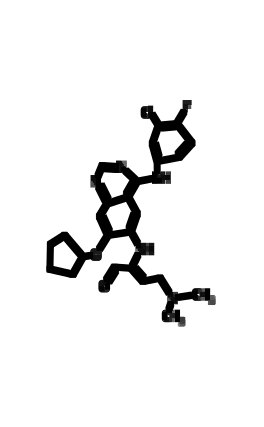 CN(C)C/C=C(/C=O)Nc1cc2c(Nc3ccc(F)c(Cl)c3)ncnc2cc1OC1CCCC1